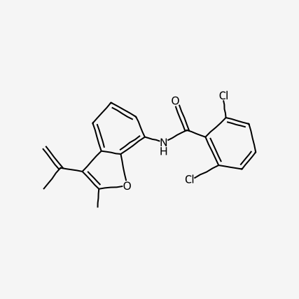 C=C(C)c1c(C)oc2c(NC(=O)c3c(Cl)cccc3Cl)cccc12